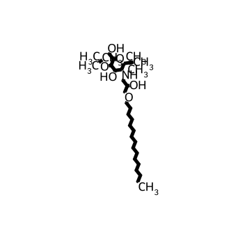 CCCCCCCCCCCCCCCCOCC(O)CNC1C(O)C(OC(C)(C)C)C(CO)OC1C(C)(C)C